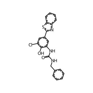 O=C(NCc1ccccc1)Nc1cc(-c2nc3ccccc3s2)cc(Cl)c1O